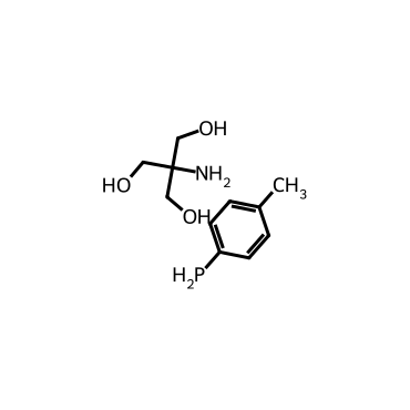 Cc1ccc(P)cc1.NC(CO)(CO)CO